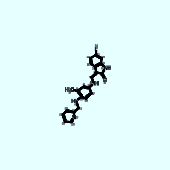 Cc1cc(NC=C2C(=O)Nc3cc(F)ccc32)ccc1NCc1ccccn1